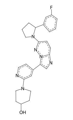 OC1CCN(c2cc(-c3cnc4ccc(N5CCCC5c5cccc(F)c5)nn34)ccn2)CC1